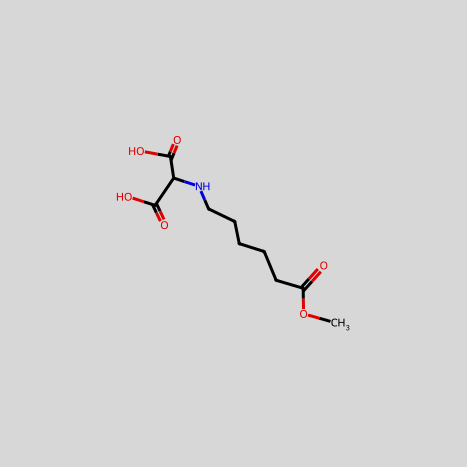 COC(=O)CCCCCNC(C(=O)O)C(=O)O